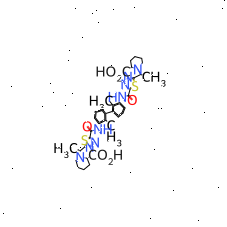 Cc1c(NC(=O)c2nnc([C@H](C)N3CCCC[C@H]3C(=O)O)s2)cccc1-c1cccc(NC(=O)c2nnc([C@H](C)N3CCCC[C@H]3C(=O)O)s2)c1C